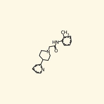 Cc1ccccc1NC(=O)CN1CCC(c2ccccn2)CC1